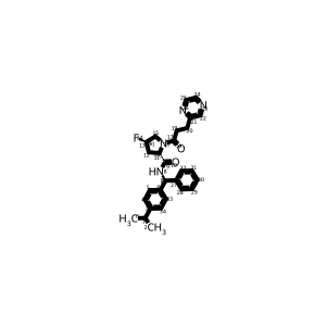 CC(C)c1ccc([C@@H](NC(=O)[C@@H]2C[C@@H](F)CN2C(=O)CCc2cnccn2)c2ccccc2)cc1